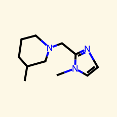 CC1CCCN(Cc2nccn2C)C1